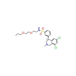 CCCOCCOCCNS(=O)(=O)c1cccc([C@@H]2CN(C)Cc3c(Cl)cc(Cl)cc32)c1